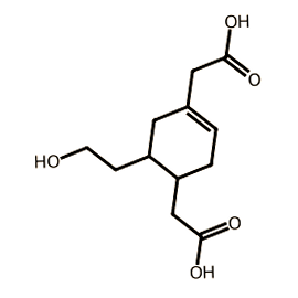 O=C(O)CC1=CCC(CC(=O)O)C(CCO)C1